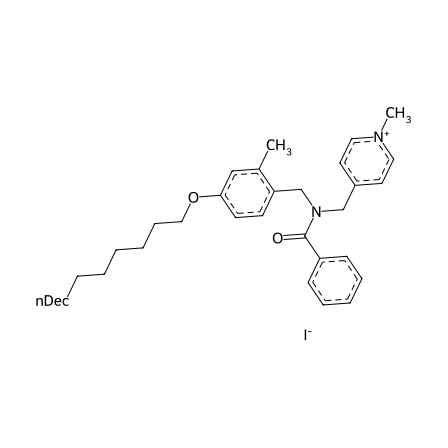 CCCCCCCCCCCCCCCCOc1ccc(CN(Cc2cc[n+](C)cc2)C(=O)c2ccccc2)c(C)c1.[I-]